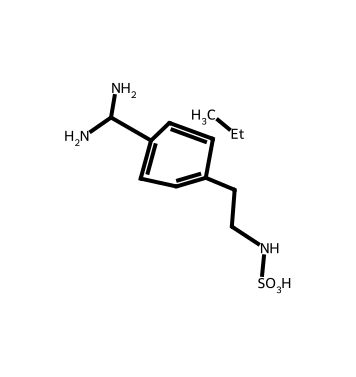 CCC.NC(N)c1ccc(CCNS(=O)(=O)O)cc1